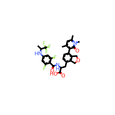 Cc1cc(C)n(C)c(=O)c1-c1ccc(CC(NC(=O)c2c(F)cc(NC(C)C(F)(F)F)cc2F)C(=O)O)c2c1COC2